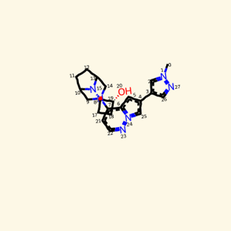 Cn1cc(-c2cc3c(N4CC5CCC(C4)N5[C@H]4CC[C@H]4O)ccnn3c2)cn1